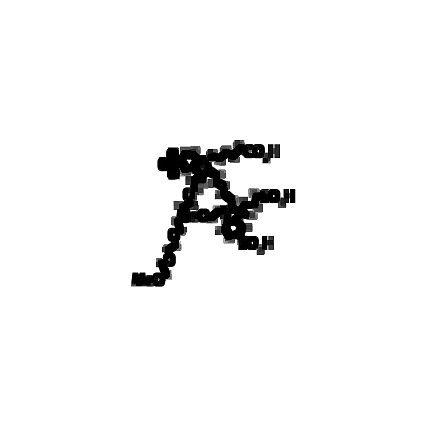 COCCOCCOCCOCCOCCC1(C)\C(=C/C=C/C=C/C2=[N+](CCOC)c3ccc(S(=O)(=O)O)cc3C2(C)CCCS(=O)(=O)O)N(CCCCCC(=O)O)c2ccc(S(=O)(=O)[O-])cc21